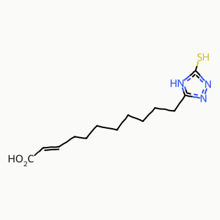 O=C(O)C=CCCCCCCCCc1nnc(S)[nH]1